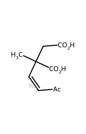 CC(=O)/C=C\C(C)(CC(=O)O)C(=O)O